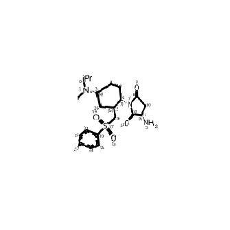 CC(C)N(C)[C@@H]1CC[C@H](N2C(=O)C[C@H](N)C2=O)[C@@H](CS(=O)(=O)c2ccccc2)C1